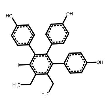 CCc1c(I)c(-c2ccc(O)cc2)c(-c2ccc(O)cc2)c(-c2ccc(O)cc2)c1CC